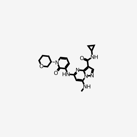 CNc1cc(Nc2cccn([C@H]3CCCOC3)c2=O)nc2c(C(=O)NC3CC3)cnn12